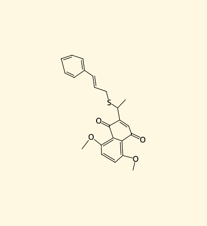 COc1ccc(OC)c2c1C(=O)C=C(C(C)SCC=Cc1ccccc1)C2=O